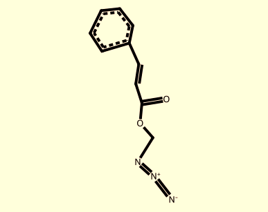 [N-]=[N+]=NCOC(=O)C=Cc1ccccc1